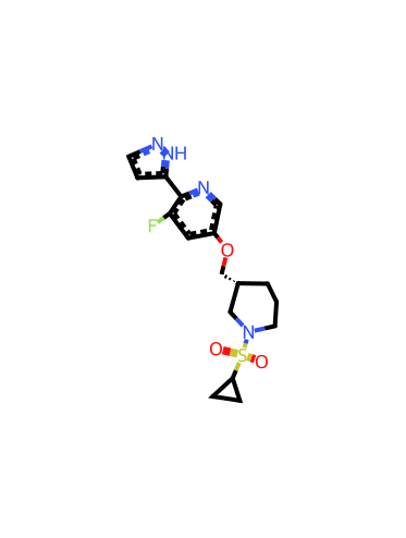 O=S(=O)(C1CC1)N1CCC[C@@H](COc2cnc(-c3ccn[nH]3)c(F)c2)C1